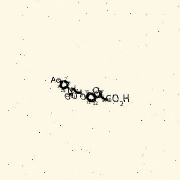 CC(=O)c1ccc(N2CC(COc3ccc4c(c3)OCC4CC(=O)O)OC2=O)cc1